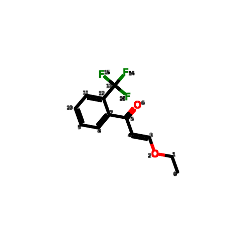 CCOC=CC(=O)c1ccccc1C(F)(F)F